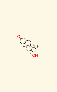 C[C@]12CC[C@H]3[C@@H](CC=C4CC(=O)CC[C@@H]43)[C@@]13C[C@H]3C[C@@H]2O